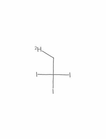 [2H]CC(I)(I)I